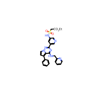 CCOC(=O)CS(=O)(=O)Nc1cncc(-c2nc(NCc3ccccn3)c3c(-c4ccccc4)ccn3n2)c1